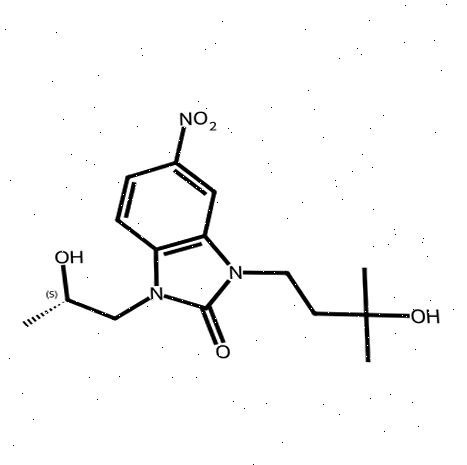 C[C@H](O)Cn1c(=O)n(CCC(C)(C)O)c2cc([N+](=O)[O-])ccc21